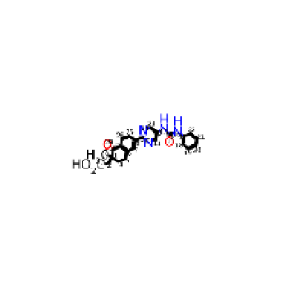 CC1(CC(=O)O)CCc2cc(-c3ncc(NC(=O)Nc4ccccc4)cn3)ccc2C1=O